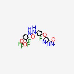 CNC(=O)c1cncc(Oc2ccc(NC(=O)Nc3ccc4c(c3)C(F)(F)OC(F)(F)O4)cc2F)c1